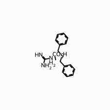 CC(=O)O.N=C(N)N.c1ccc(CSCc2ccccc2)cc1